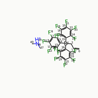 C=CC[B-](c1c(F)c(F)c(F)c(F)c1F)(c1c(F)c(F)c(F)c(F)c1F)c1c(F)c(F)c(F)c(F)c1F.C[NH+](C)C